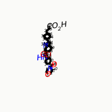 C[C@H]1COCCN1C(=O)[C@H]1CC[C@H](NS(=O)(=O)c2ccc3cc(-c4ccc(CCC(=O)O)cc4)n(C)c3c2)CC1